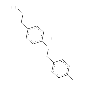 Cl.NCCc1ccc(OCc2ccc(C(F)(F)F)cc2)cc1